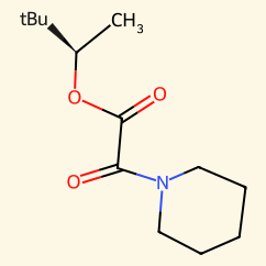 C[C@@H](OC(=O)C(=O)N1CCCCC1)C(C)(C)C